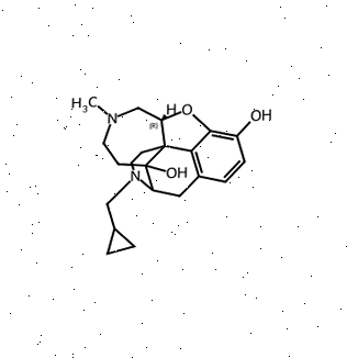 CN1CCC2(O)C3Cc4ccc(O)c5c4C2(CCN3CC2CC2)[C@H](C1)O5